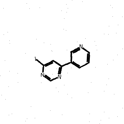 Ic1cc(-c2cccnc2)ncn1